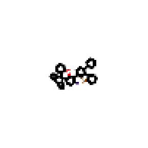 Ic1ccc2c(c1-c1ccc(-c3ccccc3)c3c1sc1ccccc13)Oc1ccccc1C21c2ccccc2-c2ccccc21